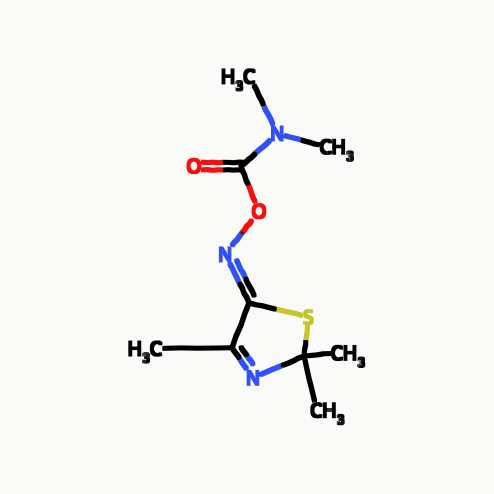 CC1=NC(C)(C)SC1=NOC(=O)N(C)C